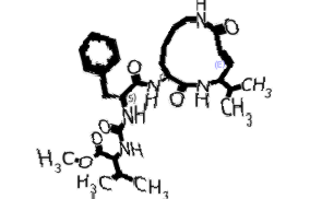 COC(=O)C(NC(=O)N[C@@H](Cc1ccccc1)C(=O)N[C@H]1CCCCNC(=O)/C=C/C(C(C)C)NC1=O)C(C)C